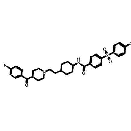 O=C(NC1CCC(CCN2CCC(C(=O)c3ccc(F)cc3)CC2)CC1)c1ccc(S(=O)(=O)c2ccc(Cl)cc2)cc1